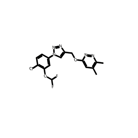 Cc1cc(OCc2cn(-c3ccc(Cl)c(OC(F)F)c3)nn2)nnc1C